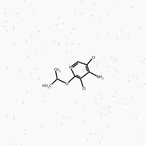 CC(Oc1ncc(Cl)c(N)c1Cl)C(=O)O